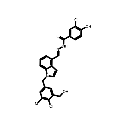 O=C(N/N=C/c1cccc2c1ccn2Cc1cc(Cl)c(Cl)c(CO)c1)c1ccc(O)c(Cl)c1